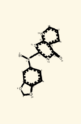 CCN(c1ccc2c(c1)OCO2)c1nc(=O)c2cccnc2s1